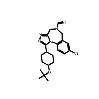 CC(C)(C)OC1CCC(c2nnc3n2-c2ccc(Cl)cc2CN([C]=O)C3)CC1